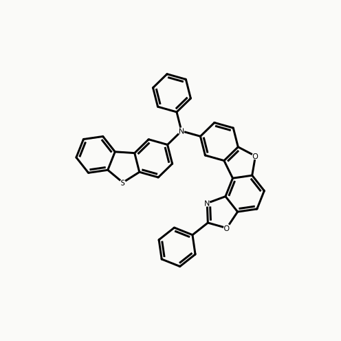 c1ccc(-c2nc3c(ccc4oc5ccc(N(c6ccccc6)c6ccc7sc8ccccc8c7c6)cc5c43)o2)cc1